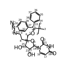 CC(C)(C)[Si](OC[C@@]1(CCN=[N+]=[N-])O[C@@H](n2ccc(=O)[nH]c2=O)[C@H](O)[C@@H]1O)(c1ccccc1)c1ccccc1